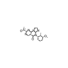 COc1cccc(-n2c(=O)c3cnc([S+](C)[O-])nc3n3ccnc23)c1C